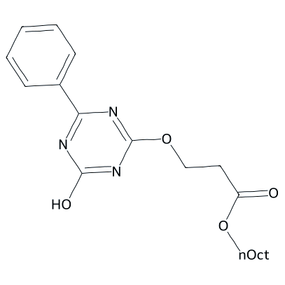 CCCCCCCCOC(=O)CCOc1nc(O)nc(-c2ccccc2)n1